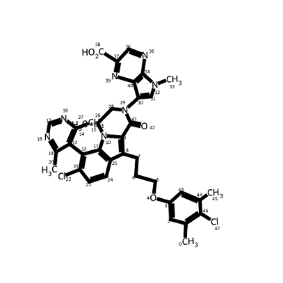 Cc1cc(OCCCc2c3n(c4c(-c5c(C)ncnc5C)c(Cl)ccc24)[C@H](C)CN(c2cn(C)c4ncc(C(=O)O)nc24)C3=O)cc(C)c1Cl